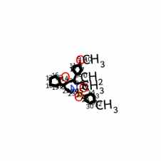 C=C(C)C1=C(c2ccc(OC)cc2)c2oc3ccccc3c2C=CN1S(=O)(=O)c1ccc(C)cc1